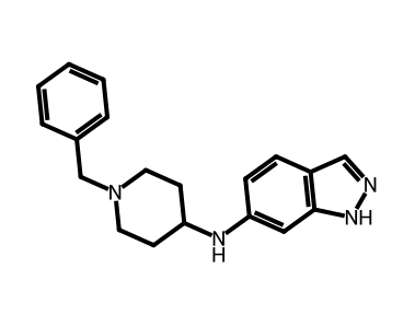 c1ccc(CN2CCC(Nc3ccc4cn[nH]c4c3)CC2)cc1